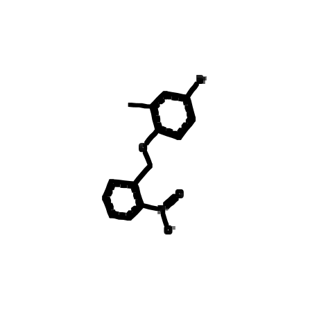 Cc1cc(Br)ccc1OCc1ccccc1[N+](=O)[O-]